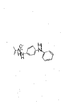 C=C(C)[NH+]([O-])Nc1ccc(Nc2ccccc2)cc1